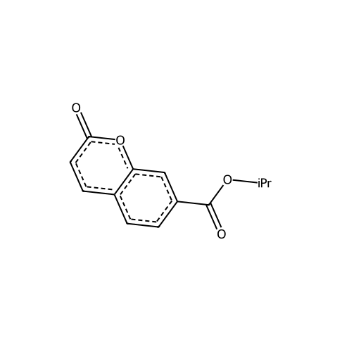 CC(C)OC(=O)c1ccc2ccc(=O)oc2c1